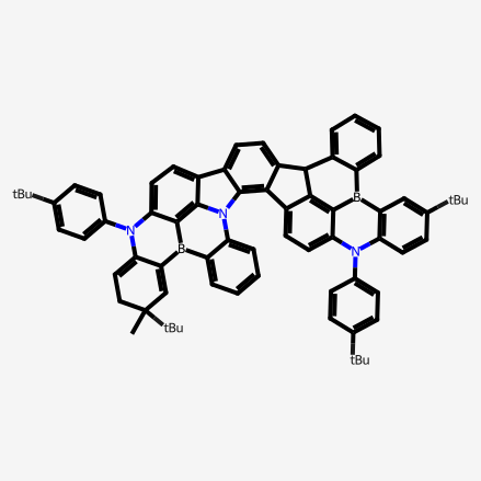 CC(C)(C)c1ccc(N2C3=CCC(C)(C(C)(C)C)C=C3B3c4ccccc4-n4c5c3c2ccc5c2ccc3c(c24)-c2ccc4c5c2C3c2ccccc2B5c2cc(C(C)(C)C)ccc2N4c2ccc(C(C)(C)C)cc2)cc1